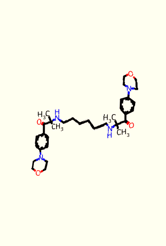 CC(C)(NCCCCCCNC(C)(C)C(=O)c1ccc(N2CCOCC2)cc1)C(=O)c1ccc(N2CCOCC2)cc1